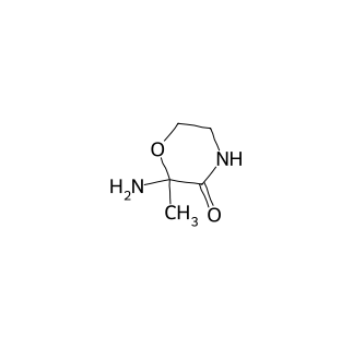 CC1(N)OCCNC1=O